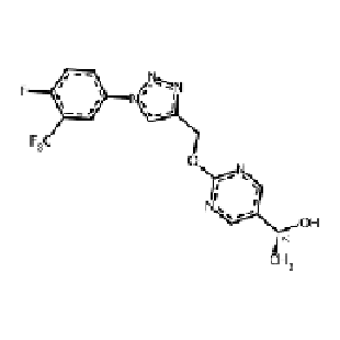 C[C@H](O)c1cnc(OCc2cn(-c3ccc(F)c(C(F)(F)F)c3)nn2)nc1